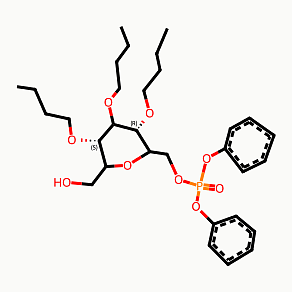 CCCCOC1[C@H](OCCCC)C(COP(=O)(Oc2ccccc2)Oc2ccccc2)OC(CO)[C@@H]1OCCCC